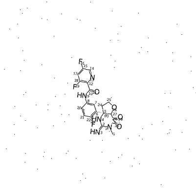 CN1C(=N)N[C@@]2(c3cc(NC(=O)c4ncc(F)cc4F)ccc3F)CCOC2S1(=O)=O